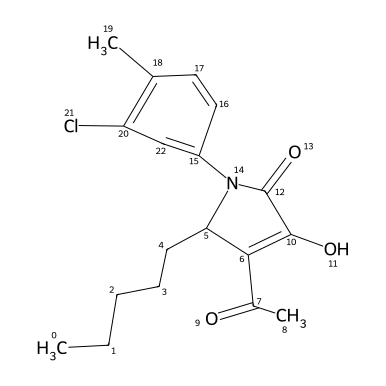 CCCCCC1C(C(C)=O)=C(O)C(=O)N1c1ccc(C)c(Cl)c1